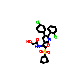 O=C(CO)Nc1c(S(=O)(=O)c2ccccc2)oc2nc(-c3ccccc3Cl)c(-c3ccc(Cl)cc3)cc12